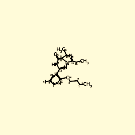 CCCCOc1ncc(I)cc1C1=NN2C(CC)=NC(C)C2C(=O)N1